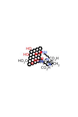 C=C(C)CN(CC(C)=O)C(CCCCNC(=O)C12C=CC=C3C=C4C=C5C6=C7C(=CC5O)C(O)C5=CC8C9=C%10C5=C7C5=C7c%11c(c(cc%12c%11=C%11C%13c%14c(cc%15c(c%14C%10(O)C5%11)C9C59OC5(C=CC=C9C8C(=O)O)C%15)C=CC%13(C(=O)NCCCCC(C(=O)O)N(CC(=C)C)CC(C)C)C=%12)C1)C(=C32)C4C67O)C(=O)O